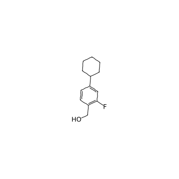 OCc1ccc(C2CCCCC2)cc1F